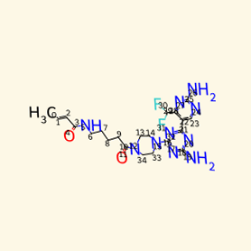 C/C=C/C(=O)NCCCCC(=O)N1CCN(c2nc(N)nc(-c3cnc(N)nc3C(F)F)n2)CC1